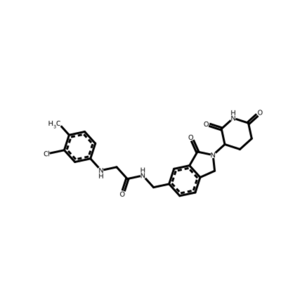 Cc1ccc(NCC(=O)NCc2ccc3c(c2)C(=O)N(C2CCC(=O)NC2=O)C3)cc1Cl